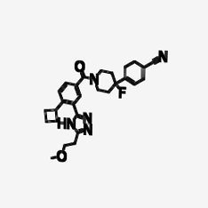 COCCc1nnc(-c2cc(C(=O)N3CCC(F)(C4=CC=C(C#N)CC4)CC3)ccc2C2CCC2)[nH]1